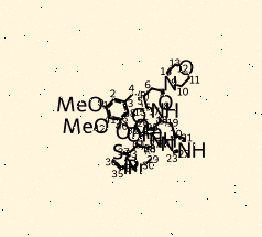 COc1cc(C[C@H](CC(=O)N2CCOCC2)C(=O)N[C@@H](Cc2c[nH]cn2)C(=O)N[C@H](CC(C)C)[C@H](O)c2nccs2)cc(OC)c1OC